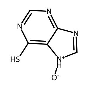 [O-][NH+]1C=Nc2ncnc(S)c21